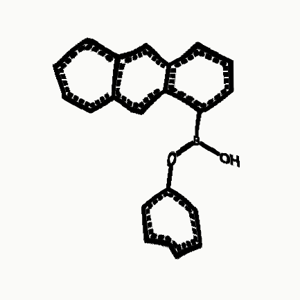 OB(Oc1ccccc1)c1cccc2cc3ccccc3cc12